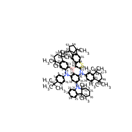 CC(C)(C)c1ccc(N2c3cc4c(cc3B3c5c2cc(N2c6ccccc6C6(C)CCCCC26C)cc5N(c2ccc5c(c2)C(C)(C)CCC5(C)C)c2sc5cc6c(cc5c23)C2(C)CCC6(C)C2)C(C)(C)CCC4(C)C)cc1